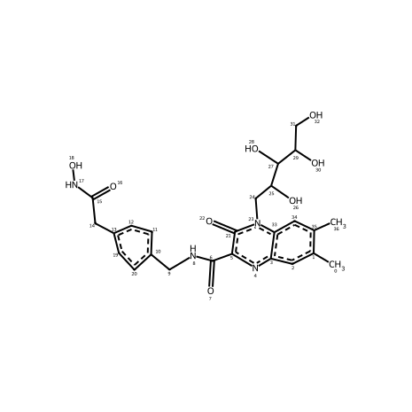 Cc1cc2nc(C(=O)NCc3ccc(CC(=O)NO)cc3)c(=O)n(CC(O)C(O)C(O)CO)c2cc1C